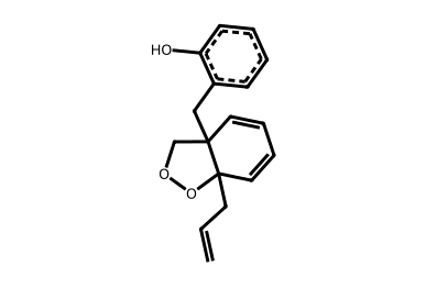 C=CCC12C=CC=CC1(Cc1ccccc1O)COO2